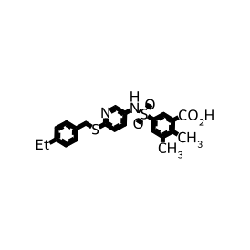 CCc1ccc(CSc2ccc(NS(=O)(=O)c3cc(C)c(C)c(C(=O)O)c3)cn2)cc1